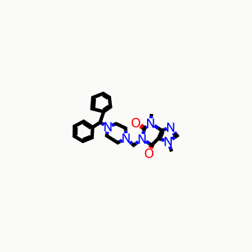 Cn1cnc2c1c(=O)n(CN1CCN(C(c3ccccc3)c3ccccc3)CC1)c(=O)n2C